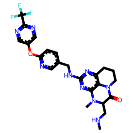 CNCC1C(=O)N2CCCc3nc(NCc4ccc(Oc5cnc(C(F)(F)F)nc5)nc4)nc(c32)N1C